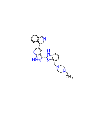 CCN1CCN(Cc2cccc3[nH]c(-c4n[nH]c5ncc(-c6cncc7ccccc67)cc45)nc23)CC1